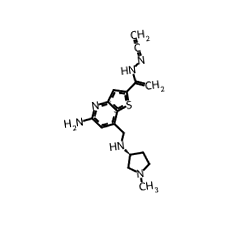 C=C=NNC(=C)c1cc2nc(N)cc(CN[C@H]3CCN(C)C3)c2s1